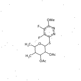 COc1nnc(SC2OC(C)C(C)C(OC(C)=O)C2OC(C)=O)c(F)c1F